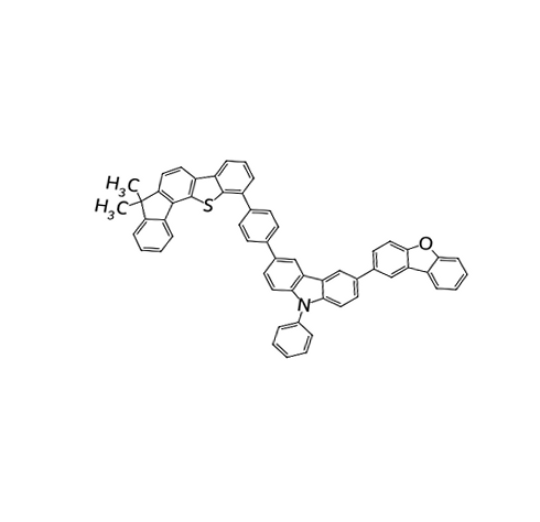 CC1(C)c2ccccc2-c2c1ccc1c2sc2c(-c3ccc(-c4ccc5c(c4)c4cc(-c6ccc7oc8ccccc8c7c6)ccc4n5-c4ccccc4)cc3)cccc21